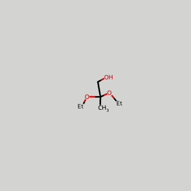 CCOC(C)(CO)OCC